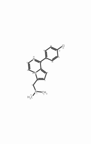 CN(C)Cc1ccc2c(-c3ccc(Cl)cc3)nccn12